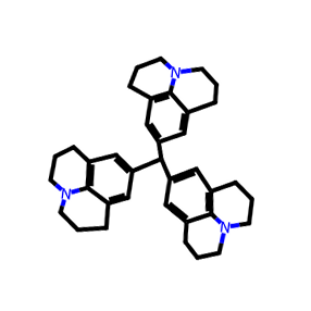 c1c(C(c2cc3c4c(c2)CCCN4CCC3)c2cc3c4c(c2)CCCN4CCC3)cc2c3c1CCCN3CCC2